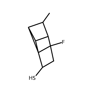 CC1C2C3C1C31C(S)CC21F